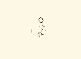 Cc1cccc(-c2c[nH]c(-c3c(C)n[nH]c3C)n2)c1